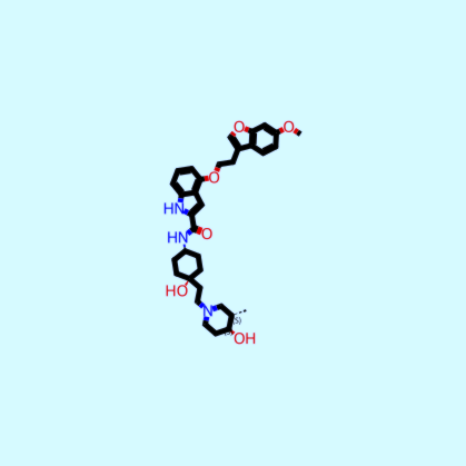 COc1ccc2c(CCOc3cccc4[nH]c(C(=O)N[C@H]5CC[C@](O)(CCN6CC[C@H](O)[C@@H](C)C6)CC5)cc34)coc2c1